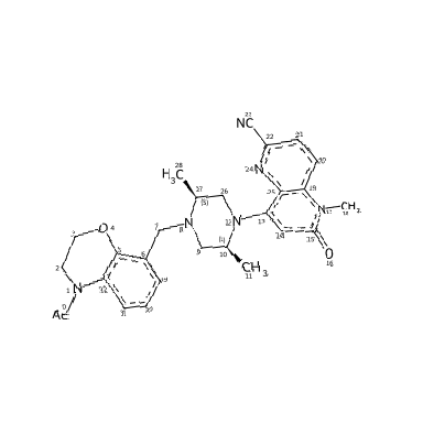 CC(=O)N1CCOc2c(CN3C[C@H](C)N(c4cc(=O)n(C)c5ccc(C#N)nc45)C[C@@H]3C)cccc21